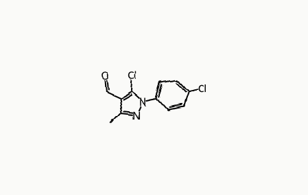 Cc1nn(-c2ccc(Cl)cc2)c(Cl)c1C=O